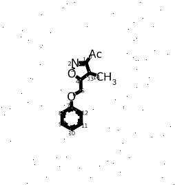 CC(=O)C1=NOC(COc2ccccc2)C1C